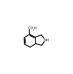 O=C(O)C1=C2CNCC2CC=C1